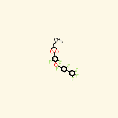 CCCC1COC(c2cc(F)c(OC(F)(F)c3ccc(-c4cc(F)c(F)c(F)c4)c(F)c3)c(F)c2)OC1